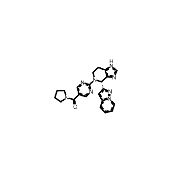 O=C(c1cnc(N2CCc3[nH]cnc3[C@@H]2c2cc3ccccn3n2)nc1)N1CCCC1